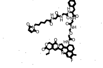 CC[C@H]1C(=O)OCc2c1cc1n(c2=O)Cc2c-1nc1cc(F)c(C)c3c1c2[C@@H](NC(=O)COCNC(=O)CNC(=O)C(Cc1ccccc1)NC(=O)CNC(=O)CNC(=O)CCCCCN1C(=O)C=CC1=O)CC3